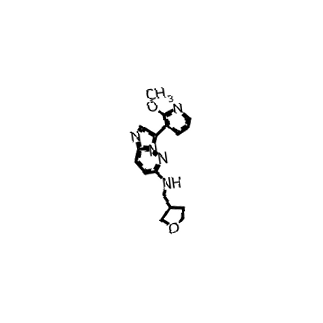 COc1ncccc1-c1cnc2ccc(NCC3CCOC3)nn12